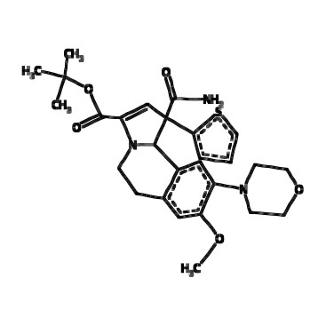 COc1cc2c(cc1N1CCOCC1)C1N(CC2)C(C(=O)OC(C)(C)C)=CC1(C(N)=O)c1cccs1